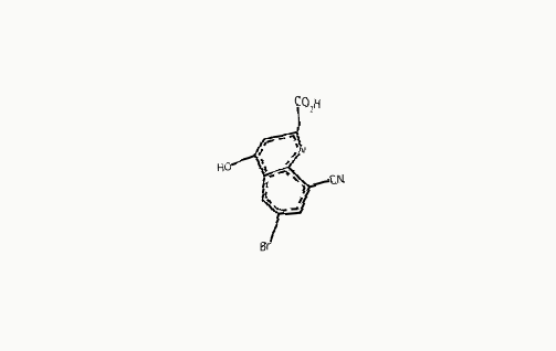 N#Cc1cc(Br)cc2c(O)cc(C(=O)O)nc12